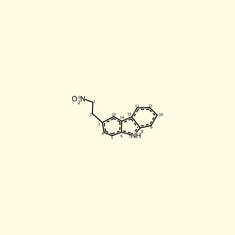 O=[N+]([O-])CCc1ccc2[nH]c3ccccc3c2c1